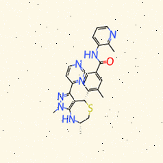 Cc1cc(C(=O)Nc2cccnc2C)ccc1[C@@H]1SC[C@H](C)Nc2c1c(-c1ccncn1)nn2C